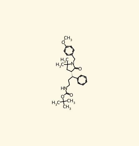 COc1ccc(CN2C(=O)[C@H](C(CCNC(=O)OC(C)(C)C)c3ccccc3)CC2(C)C)cc1